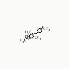 CSN1CCC(CCN2[C@H](C)CN(CC(C)C)C[C@H]2C)CC1